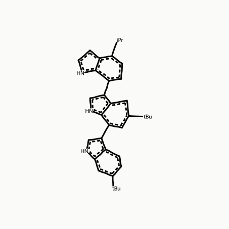 CC(C)c1ccc(-c2c[nH]c3c(-c4c[nH]c5cc(C(C)(C)C)ccc45)cc(C(C)(C)C)cc23)c2[nH]ccc12